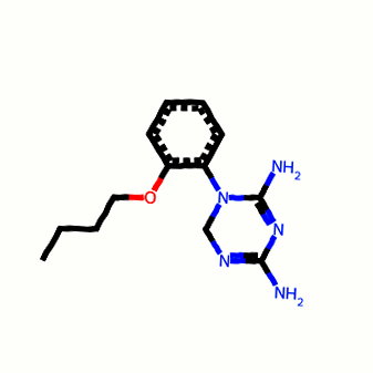 CCCCOc1ccccc1N1CN=C(N)N=C1N